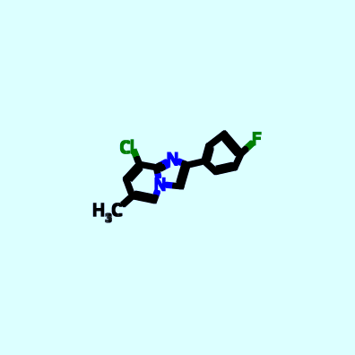 Cc1cc(Cl)c2nc(-c3ccc(F)cc3)cn2c1